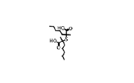 CCCCCC(C)(SC(C)(CCCCC)C(=O)O)C(=O)O